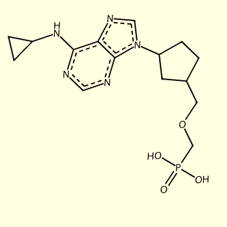 O=P(O)(O)COCC1CCC(n2cnc3c(NC4CC4)ncnc32)C1